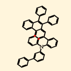 c1ccc(-c2cccc(N(c3ccccc3)c3ccccc3-c3ccc4c(c3)c(-c3ccccc3)c(-c3ccccc3)c3ccccc34)c2)cc1